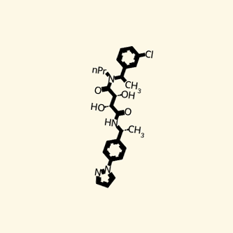 CCCN(C(=O)[C@H](O)[C@@H](O)C(=O)N[C@H](C)c1ccc(-n2cccn2)cc1)C(C)c1cccc(Cl)c1